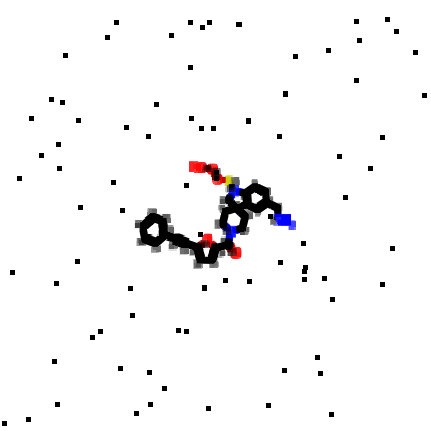 NCc1ccc2c(c1)C1(CCN(C(=O)c3ccc(C#Cc4ccccc4)o3)CC1)CN2SOOO